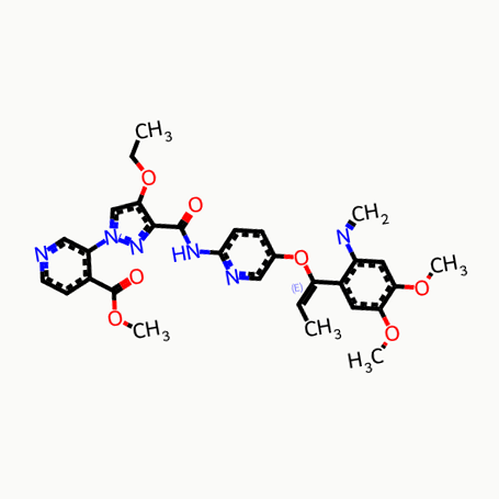 C=Nc1cc(OC)c(OC)cc1/C(=C\C)Oc1ccc(NC(=O)c2nn(-c3cnccc3C(=O)OC)cc2OCC)nc1